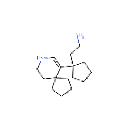 NCCC1(C2=CNCCC23CCCC3)CCCC1